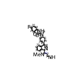 CN/C(=C\C=N)c1nnc(N2CCC(N(C)C(=O)Nc3ccc(F)cc3C(F)(F)F)CC2)c2ccccc12